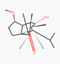 CO[C@@H]1CCC23CC[C@@H](C)[C@](C)(C12)[C@H](O)C[C@@](C)(C(C)C)C(=O)[C@@H]3C